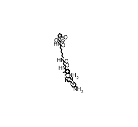 Cc1c(NC(=O)CC(=O)NCCCCCCC(=O)N[C@@H](C(=O)N2CCC[C@@H]2C=O)S(C)(C)C)cccc1Sc1ncc(N2CCC(C)(N)CC2)nc1N